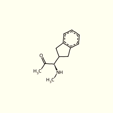 CN[C@@H](C(C)=O)C1Cc2ccccc2C1